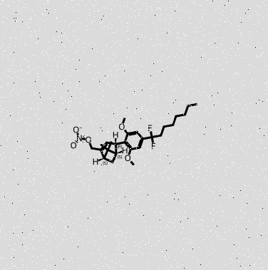 CCCCCCCC(F)(F)c1cc(OC)c([C@H]2C=C(CO[N+](=O)[O-])[C@H]3C[C@@H]2C3(C)C)c(OC)c1